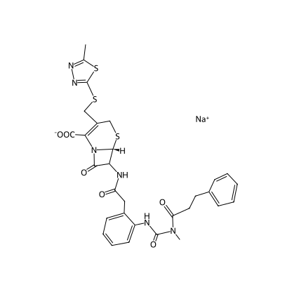 Cc1nnc(SCC2=C(C(=O)[O-])N3C(=O)C(NC(=O)Cc4ccccc4NC(=O)N(C)C(=O)CCc4ccccc4)[C@H]3SC2)s1.[Na+]